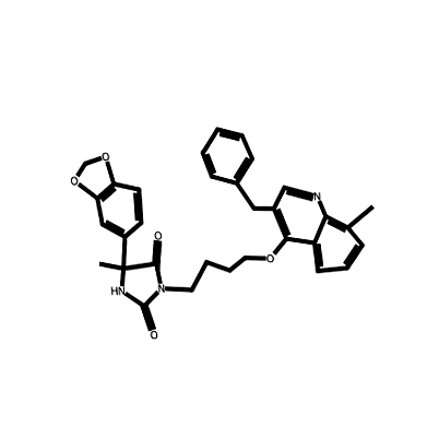 Cc1cccc2c(OCCCCN3C(=O)NC(C)(c4ccc5c(c4)OCO5)C3=O)c(Cc3ccccc3)cnc12